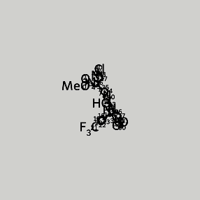 COC(=O)n1cc(C2CCN(CC(O)Cn3nc(-c4ccc(C(F)(F)F)cc4)c4c3CCN(S(C)(=O)=O)C4)CC2)c2ccc(Cl)nc21